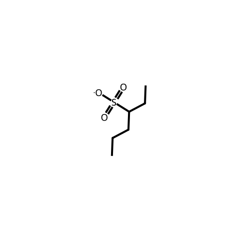 CCCC(CC)S([O])(=O)=O